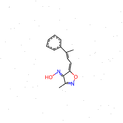 CC1=NOC(=C/C=C(\C)c2ccccc2)/C1=N/O